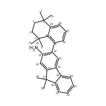 CC1(C)CCC(C)(C)c2c(-c3cc4c(cc3N)C(C)(C)c3ccccc3-4)cccc21